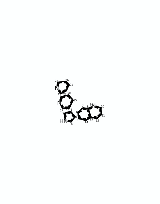 c1cc[nH]c1.c1ccc2ncccc2c1.c1ccncc1.c1ccncc1